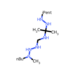 CCCCN(C)NNCNC(C)(C)NNC(C)CCC